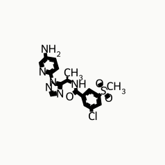 C[C@@H](NC(=O)c1cc(Cl)cc(S(C)(=O)=O)c1)c1ncnn1-c1ccc(N)cn1